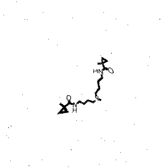 CN(CCCCNC(=O)C1(C)CC1)CCCCNC(=O)C1(C)CC1